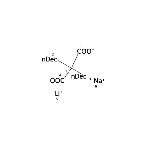 CCCCCCCCCCC(CCCCCCCCCC)(C(=O)[O-])C(=O)[O-].[Li+].[Na+]